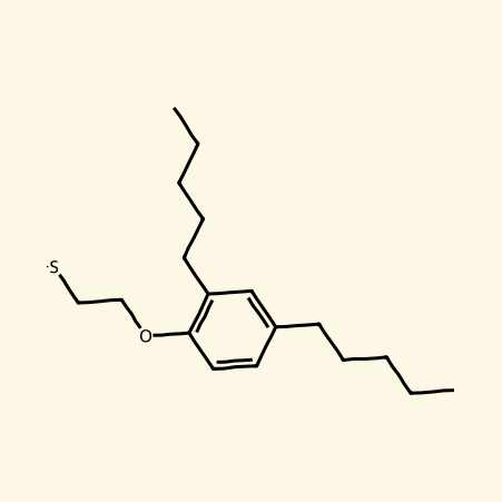 CCCCCc1ccc(OCC[S])c(CCCCC)c1